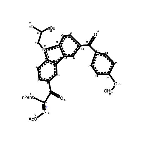 CCCCC/C(=N\OC(C)=O)C(=O)c1ccc2c(c1)c1cc(C(=O)c3ccc(OC=O)cc3)ccc1n2CC(CC)CCCC